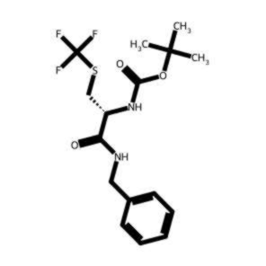 CC(C)(C)OC(=O)N[C@@H](CSC(F)(F)F)C(=O)NCc1ccccc1